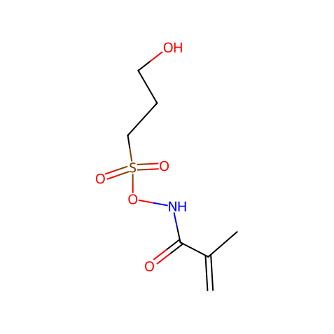 C=C(C)C(=O)NOS(=O)(=O)CCCO